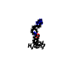 CC(C)(C)c1ccc(CC(=O)N2CCCC3(CC2)CC3c2ccc3nncn3n2)cc1